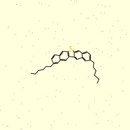 CCCCCCc1ccc2cc3sc4cc5ccc(CCCCCC)cc5cc4c3cc2c1